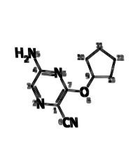 N#Cc1ncc(N)nc1OC1CCCC1